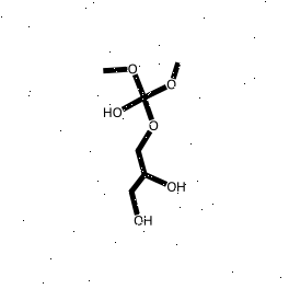 COC(O)(OC)OCC(O)CO